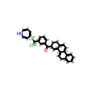 C1=CC=CNC=C1.O=C(c1cccc(C(Cl)Cl)c1)C1C=c2c(ccc3c2=CCc2ccccc2-3)CC1